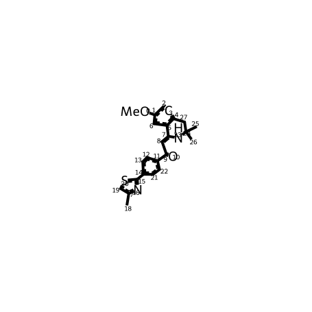 COc1ccc2c(c1)C(=CC(=O)c1ccc(-c3nc(C)cs3)cc1)NC(C)(C)C2